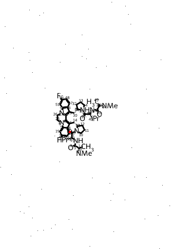 CN[C@@H](C)C(=O)N[C@H](C(=O)N1CCC[C@H]1Cc1c2n(c3cc(F)ccc13)CCn1c-2c(C[C@@H]2CCCN2C(=O)[C@@H](NC(=O)[C@H](C)NC)C(C)C)c2ccc(F)cc21)C(C)C